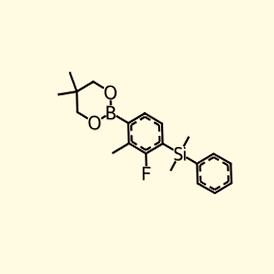 Cc1c(B2OCC(C)(C)CO2)ccc([Si](C)(C)c2ccccc2)c1F